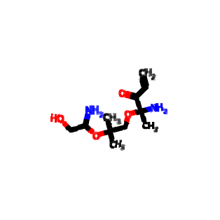 C=CC(=O)C(C)(N)OCC(C)(C)OC(N)CO